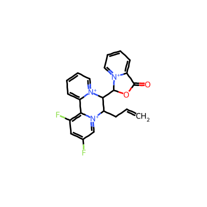 C=CCC1C(C2OC(=O)c3cccc[n+]32)[n+]2ccccc2-c2c(F)cc(F)c[n+]21